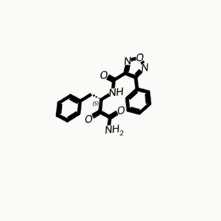 NC(=O)C(=O)[C@H](Cc1ccccc1)NC(=O)c1nonc1-c1ccccc1